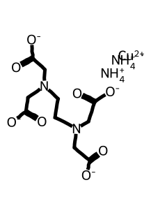 O=C([O-])CN(CCN(CC(=O)[O-])CC(=O)[O-])CC(=O)[O-].[Cu+2].[NH4+].[NH4+]